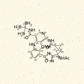 BC(B)(B)NC(=O)c1cnc(NC(=O)C2CC2)cc1Nc1cccc(-c2nc(C3(NC(C)=O)CC3)no2)c1OC